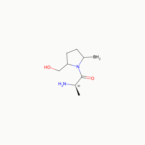 BC1CCC(CO)N1C(=O)[C@@H](C)N